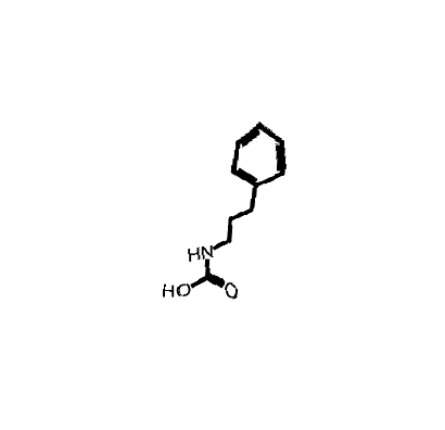 O=C(O)NCCCc1ccccc1